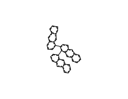 c1ccc2cc3c(-c4ccc5cc6ccccc6cc5c4-c4cccc5cc6ccccc6cc45)cccc3cc2c1